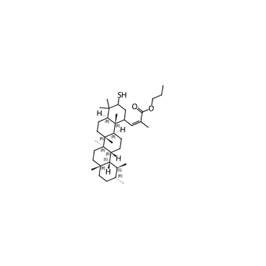 CCCOC(=O)C(C)=CC1CC(S)C(C)(C)[C@@H]2CC[C@]3(C)[C@H](CC[C@@H]4[C@@H]5[C@@H](C)[C@H](C)CC[C@]5(C)CC[C@]43C)[C@@]12C